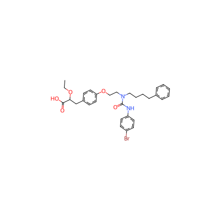 CCOC(Cc1ccc(OCCN(CCCCc2ccccc2)C(=O)Nc2ccc(Br)cc2)cc1)C(=O)O